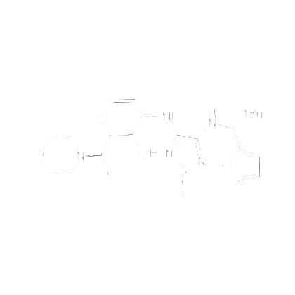 CC(C)(C)[C@@H](Nc1n[s+]([O-])nc1Nc1cccc(C(=O)N2CCOCC2)c1O)c1ccco1